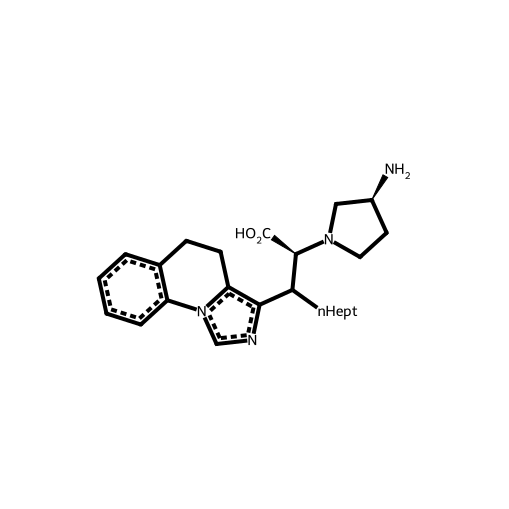 CCCCCCCC(c1ncn2c1CCc1ccccc1-2)[C@@H](C(=O)O)N1CC[C@H](N)C1